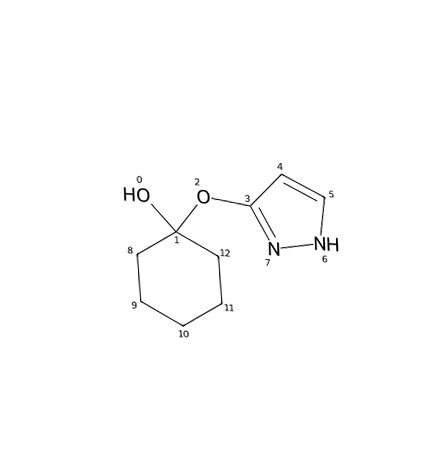 OC1(Oc2cc[nH]n2)CCCCC1